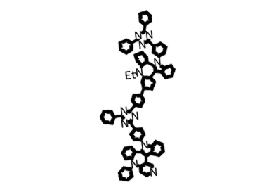 CCN1c2cc(-c3ccc(-c4nc(-c5ccccc5)nc(-c5ccc(-n6c7c(c8ccccc86)-c6cnccc6N(c6ccccc6)c6ccccc6-7)cc5)n4)cc3)ccc2-c2c(n(-c3cccc(-c4nc(-c5ccccc5)nc(-c5ccccc5)n4)c3)c3ccccc23)-c2ccccc21